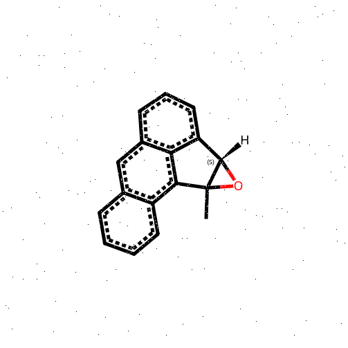 CC12O[C@H]1c1cccc3cc4ccccc4c2c13